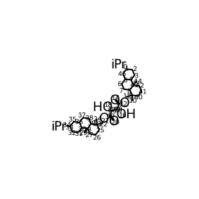 CC(C)C1CCC2C(CCC3C(C)(COC(=O)[C@H](O)[C@@H](O)C(=O)OCC4(C)CCCC5(C)C6CCC(C(C)C)CC6CCC45)CCCC23C)C1